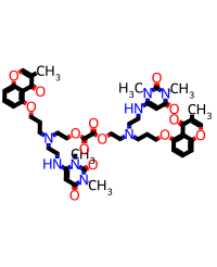 Cc1coc2cccc(OCCCN(CCNc3cc(=O)n(C)c(=O)n3C)CCOC(=O)C(=O)OCCN(CCCOc3cccc4occ(C)c(=O)c34)CCNc3cc(=O)n(C)c(=O)n3C)c2c1=O